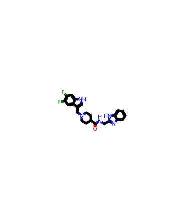 O=C(NCc1nc2ccccc2[nH]1)C1CCN(Cc2c[nH]c3cc(F)c(F)cc23)CC1